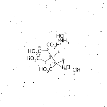 Cl.Cl.Cl.N.O=C(O)C[N+](CC(=O)O)(CC(=O)O)C1(C(=O)O)CC1